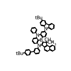 CC(C)(C)c1ccc(-c2cccc(N3C4=C(B5c6ccc(-n7c8ccccc8c8cc(C(C)(C)C)ccc87)cc6N(c6ccccc6)c6cccc3c65)C(C)(C)c3c4ccc4ccccc34)c2)cc1